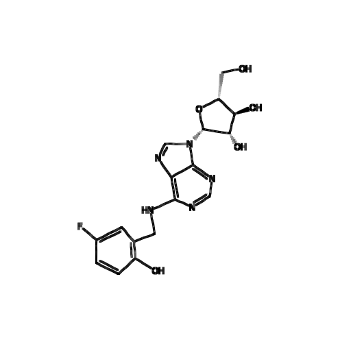 OC[C@H]1O[C@@H](n2cnc3c(NCc4cc(F)ccc4O)ncnc32)[C@@H](O)[C@@H]1O